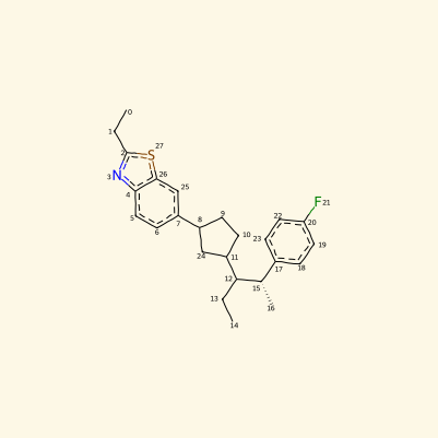 CCc1nc2ccc(C3CCC(C(CC)[C@@H](C)c4ccc(F)cc4)C3)cc2s1